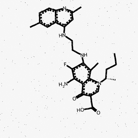 CCC[C@H](C)n1cc(C(=O)O)c(=O)c2c(N)c(F)c(NCCNc3cc(C)nc4ccc(C)cc34)c(C)c21